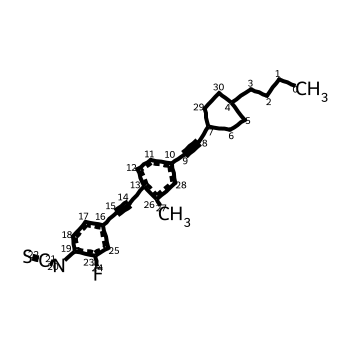 CCCCC1CCC(C#Cc2ccc(C#Cc3ccc(N=C=S)c(F)c3)c(C)c2)CC1